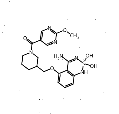 COc1ncc(C(=O)N2CCCC(COc3cccc4c3C(N)=NS(O)(O)N4)C2)cn1